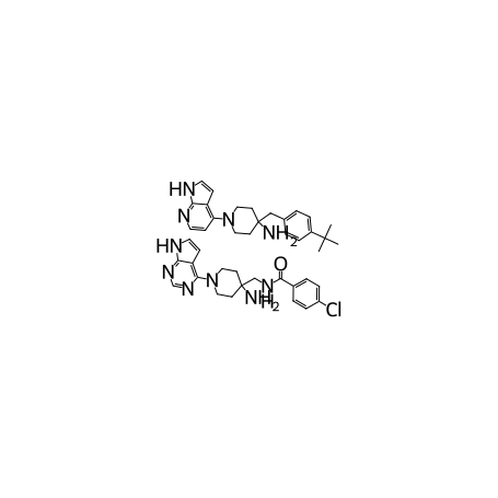 CC(C)(C)c1ccc(CC2(N)CCN(c3ccnc4[nH]ccc34)CC2)cc1.NC1(CNC(=O)c2ccc(Cl)cc2)CCN(c2ncnc3[nH]ccc23)CC1